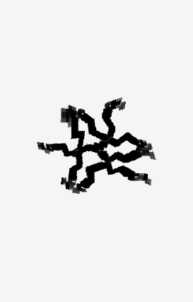 C=CC[Si](CC=C)(CC=C)P([Si](CC=C)(CC=C)CC=C)[Si](CC=C)(CC=C)CC=C